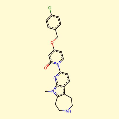 Cn1c2c(c3ccc(-n4ccc(OCc5ccc(Cl)cc5)cc4=O)nc31)CCNCC2